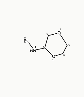 CCN[C]1COCCO1